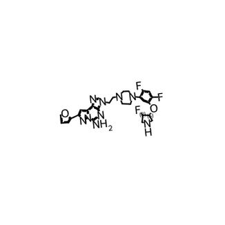 Nc1nc2c(ncn2CCN2CCN(c3cc(O[C@H]4CNC[C@H]4F)c(F)cc3F)CC2)c2cc(-c3ccco3)nn12